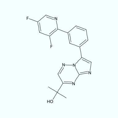 CC(C)(O)c1cnn2c(-c3cccc(-c4ncc(F)cc4F)c3)cnc2n1